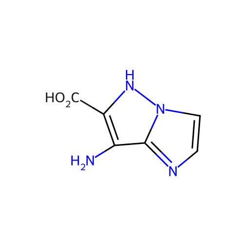 Nc1c(C(=O)O)[nH]n2ccnc12